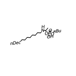 CCCCCCCCCCCCCCCCCCNC(C)OP(=O)(O)OCCCC